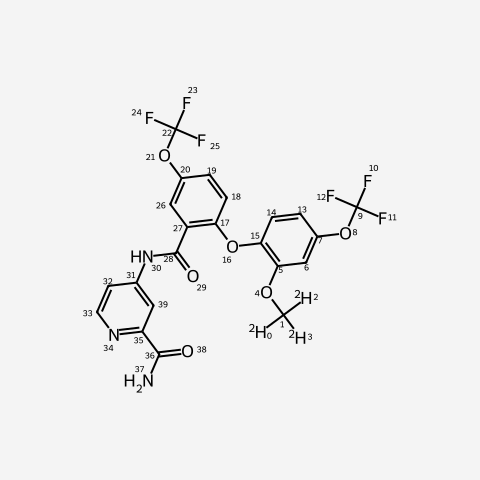 [2H]C([2H])([2H])Oc1cc(OC(F)(F)F)ccc1Oc1ccc(OC(F)(F)F)cc1C(=O)Nc1ccnc(C(N)=O)c1